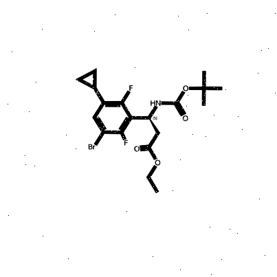 CCOC(=O)C[C@H](NC(=O)OC(C)(C)C)c1c(F)c(Br)cc(C2CC2)c1F